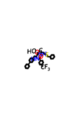 O=C(NC(CCSCc1ccccc1)C(=O)O)C(=Cc1ccc(-c2ccccc2)cc1)NC(=O)c1ccc(C(F)(F)F)cc1